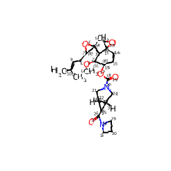 CO[C@H]1C([C@@]2(C)O[C@@H]2CC=C(C)C)[C@]2(CC[C@H]1OC(=O)N1C[C@@H]3[C@H](C1)[C@H]3C(=O)N1CCC1)CO2